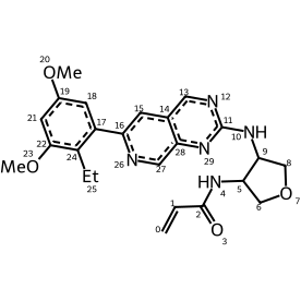 C=CC(=O)NC1COCC1Nc1ncc2cc(-c3cc(OC)cc(OC)c3CC)ncc2n1